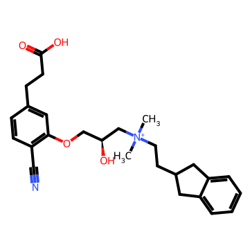 C[N+](C)(CCC1Cc2ccccc2C1)C[C@@H](O)COc1cc(CCC(=O)O)ccc1C#N